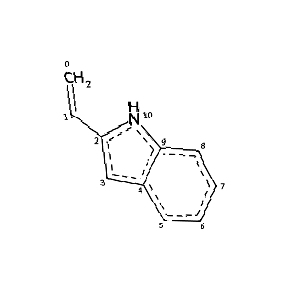 C=[C]c1cc2ccccc2[nH]1